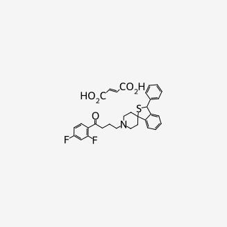 O=C(CCCN1CCC2(CC1)SC(c1ccccc1)c1ccccc12)c1ccc(F)cc1F.O=C(O)C=CC(=O)O